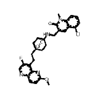 COc1ccc2ncc(F)c(CCC34CCC(NCc5cc6c(Cl)cccc6n(C)c5=O)(CC3)CO4)c2n1